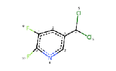 Fc1cc(C(Cl)Cl)cnc1F